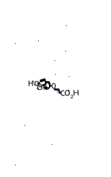 O=C(O)/C=C/COc1ccc2c(c1)C=CS2(O)O